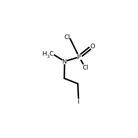 CN(CCI)P(=O)(Cl)Cl